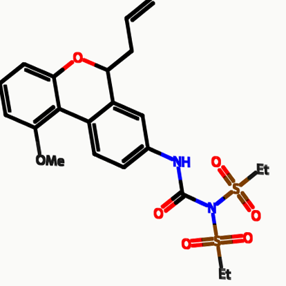 C=CCC1Oc2cccc(OC)c2-c2ccc(NC(=O)N(S(=O)(=O)CC)S(=O)(=O)CC)cc21